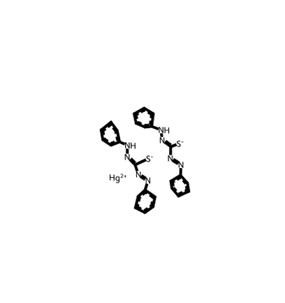 [Hg+2].[S-]C(=N\Nc1ccccc1)/N=N/c1ccccc1.[S-]C(=N\Nc1ccccc1)/N=N/c1ccccc1